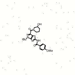 COc1ccc(C(=O)Nc2nc3c(s2)c(C(=O)N2CCCC(O)C2)nn3C(C)(C)C)cc1